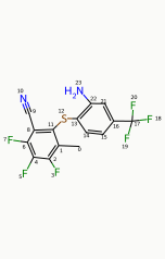 Cc1c(F)c(F)c(F)c(C#N)c1Sc1ccc(C(F)(F)F)cc1N